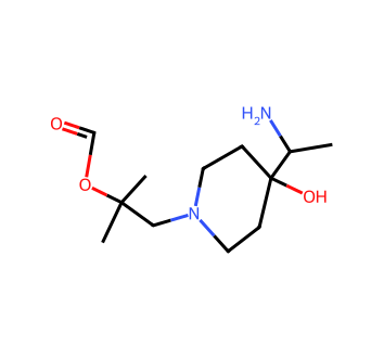 CC(N)C1(O)CCN(CC(C)(C)OC=O)CC1